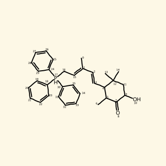 CC(C=CC1C(C)C(=O)C(O)CC1(C)C)=CC[PH](c1ccccc1)(c1ccccc1)c1ccccc1